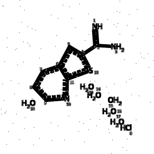 Cl.N=C(N)c1cc2cccnc2s1.O.O.O.O.O.O